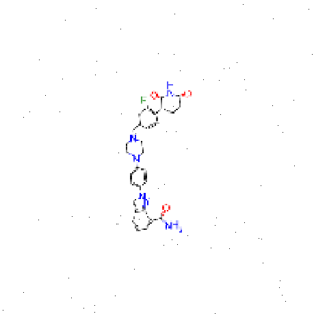 NC(=O)c1cccc2cn(-c3ccc(N4CCN(Cc5ccc(C6CCC(=O)NC6=O)c(F)c5)CC4)cc3)nc12